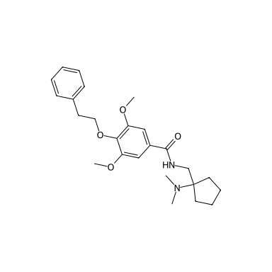 COc1cc(C(=O)NCC2(N(C)C)CCCC2)cc(OC)c1OCCc1ccccc1